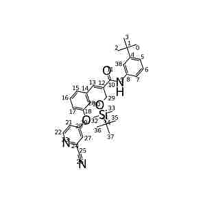 CC(C)(C)c1cccc(NC(=O)/C(=C/c2cccc(Oc3ccnc(C#N)c3)c2)CO[Si](C)(C)C(C)(C)C)c1